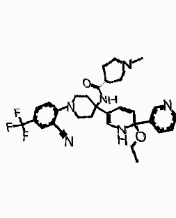 CCOC1(c2cccnc2)C=CC(C2(NC(=O)[C@@H]3CCN(C)C3)CCN(c3ccc(C(F)(F)F)cc3C#N)CC2)=CN1